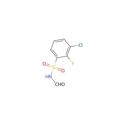 O=CNS(=O)(=O)c1cccc(Cl)c1F